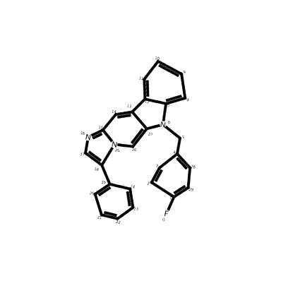 Fc1ccc(Cn2c3ccccc3c3cc4ncc(-c5ccccc5)n4cc32)cc1